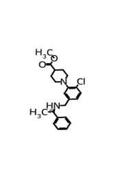 COC(=O)C1CCN(c2cc(CN[C@H](C)c3ccccc3)ccc2Cl)CC1